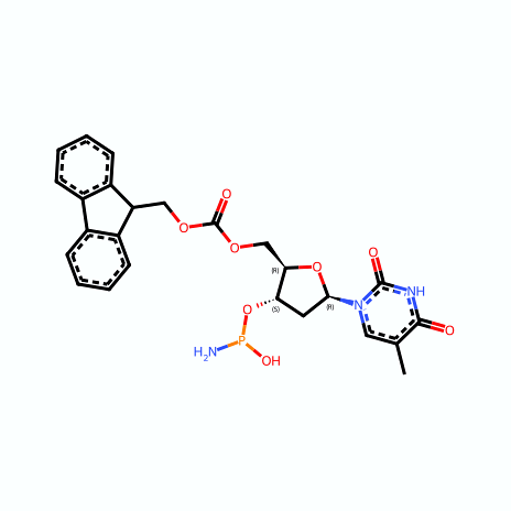 Cc1cn([C@H]2C[C@H](OP(N)O)[C@@H](COC(=O)OCC3c4ccccc4-c4ccccc43)O2)c(=O)[nH]c1=O